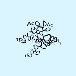 CCCCOC(=O)[C@H](CC(=O)OC(C)(C)C)OC(=O)[C@H](OC(C)=O)[C@@H](OC(C)=O)C(=O)OC1=CC[C@@]2(O)[C@H]3Cc4ccc(OC(=O)OC(C)(C)C)c5c4[C@@]2(CCN3C)[C@H]1O5